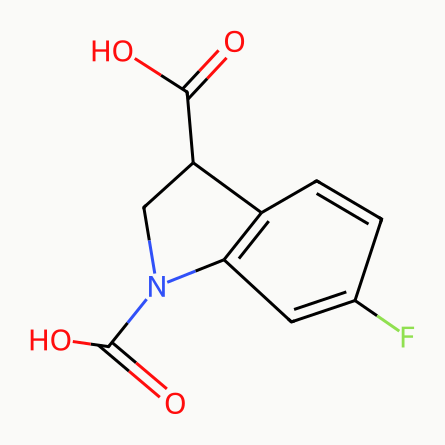 O=C(O)C1CN(C(=O)O)c2cc(F)ccc21